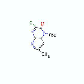 CCCCn1c(=O)c(Cl)nc2ncc(C)cc21